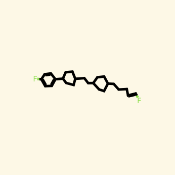 F/C=C/CCCC1CCC(CCC2CCC(c3ccc(F)cc3)CC2)CC1